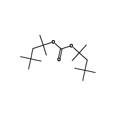 CC(C)(C)CC(C)(C)OC(=O)OC(C)(C)CC(C)(C)C